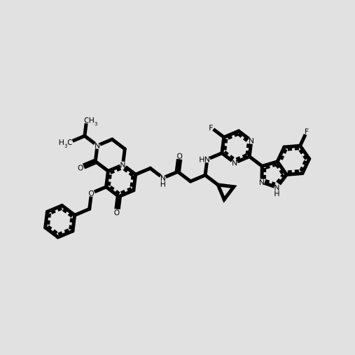 CC(C)N1CCn2c(CNC(=O)CC(Nc3nc(-c4n[nH]c5ccc(F)cc45)ncc3F)C3CC3)cc(=O)c(OCc3ccccc3)c2C1=O